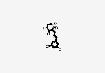 O=C1NCCS(=O)(=O)/C1=C/C=C/c1cc(Cl)cc(Cl)c1